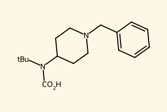 CC(C)(C)N(C(=O)O)C1CCN(Cc2ccccc2)CC1